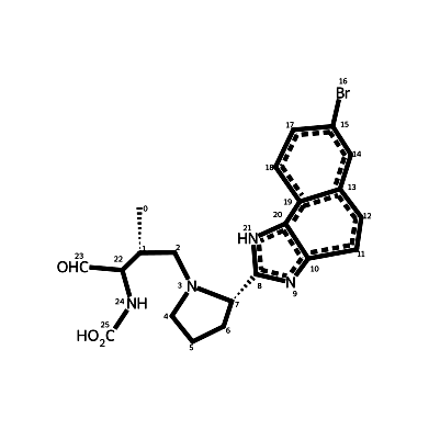 C[C@H](CN1CCC[C@H]1c1nc2ccc3cc(Br)ccc3c2[nH]1)C(C=O)NC(=O)O